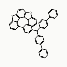 c1ccc(-c2ccc(N(c3ccc(-c4ccccc4)cc3)c3ccc(-c4cccc5sc6ccc7oc8ccccc8c7c6c45)cc3)cc2)cc1